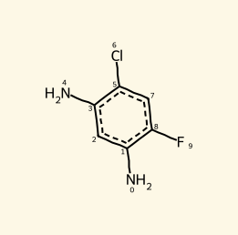 Nc1cc(N)c(Cl)cc1F